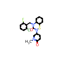 Cn1cc(N2Sc3ccccc3N(Cc3c(F)cccc3Cl)C2=O)ccc1=O